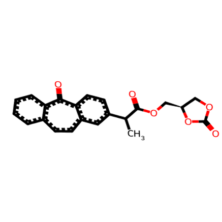 CC(C(=O)OC[C@H]1COC(=O)O1)c1ccc2c(=O)c3ccccc3ccc2c1